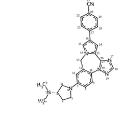 CN(C)[C@H]1CCN(c2ccc3c(c2)Cn2cc(-c4ccc(C#N)cc4)cc2-c2ncnn2-3)C1